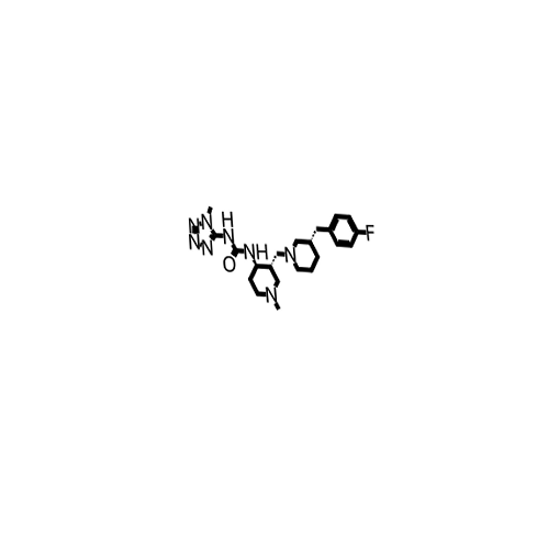 CN1CC[C@@H](NC(=O)Nc2nnnn2C)[C@H](CN2CCC[C@@H](Cc3ccc(F)cc3)C2)C1